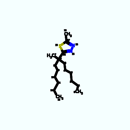 CCCCCCC(C)(CCCCCC)c1nnc(C)s1